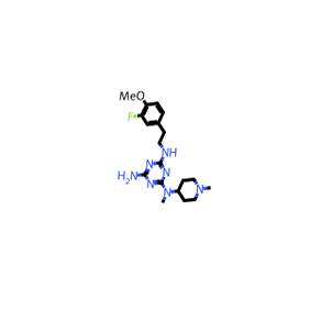 COc1ccc(CCNc2nc(N)nc(N(C)C3CCN(C)CC3)n2)cc1F